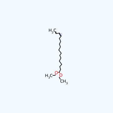 C=C/C=C\CCCCCCCCCCCCC(OCC)OCC